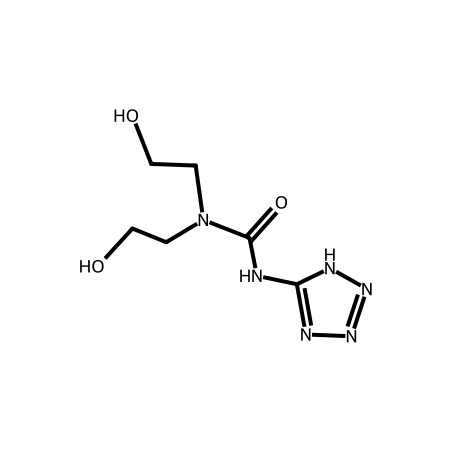 O=C(Nc1nnn[nH]1)N(CCO)CCO